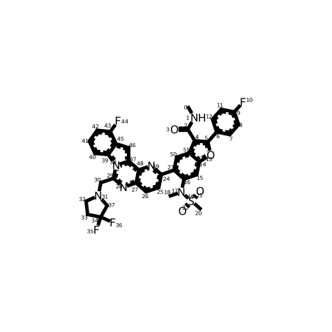 CNC(=O)c1c(-c2ccc(F)cc2)oc2cc(N(C)S(C)(=O)=O)c(-c3ccc4nc(CN5CCC(F)(F)C5)n5c6cccc(F)c6cc5c4n3)cc12